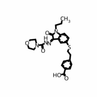 CCCN1C(=O)/C(=N\NC(=O)N2CCOCC2)c2cc(SCCc3ccc(C(=O)O)cc3)ccc21